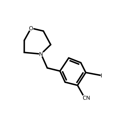 N#Cc1cc(CN2CCOCC2)ccc1I